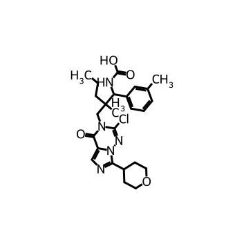 CCCC(C)(Cn1c(Cl)nn2c(C3CCOCC3)ncc2c1=O)C(NC(=O)O)c1cccc(C)c1